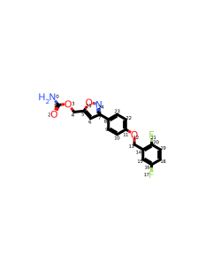 NC(=O)OCc1cc(-c2ccc(OCc3cc(F)ccc3F)cc2)no1